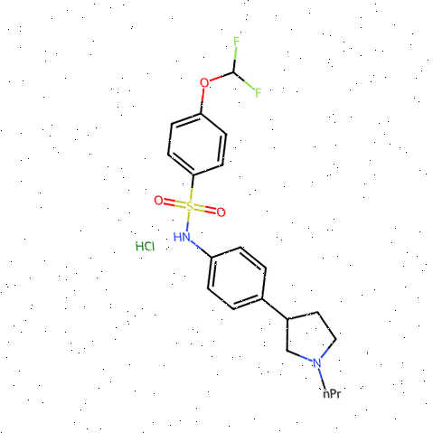 CCCN1CCC(c2ccc(NS(=O)(=O)c3ccc(OC(F)F)cc3)cc2)C1.Cl